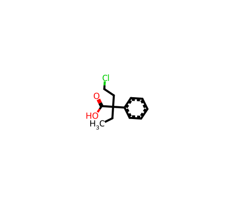 CCC(CCCl)(C(=O)O)c1ccccc1